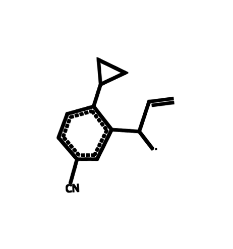 [CH2]C(C=C)c1cc(C#N)ccc1C1CC1